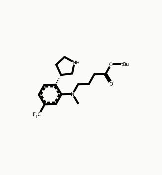 CN(CCCC(=O)OC(C)(C)C)c1cc(C(F)(F)F)ccc1[C@@H]1CCNC1